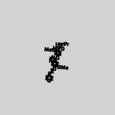 CCCNC(=O)Nc1ccc(Oc2ncnc3cc(OCCCN4CCOCC4)c(OC)cc23)cc1OC